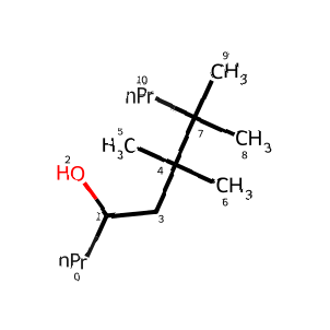 CCCC(O)CC(C)(C)C(C)(C)CCC